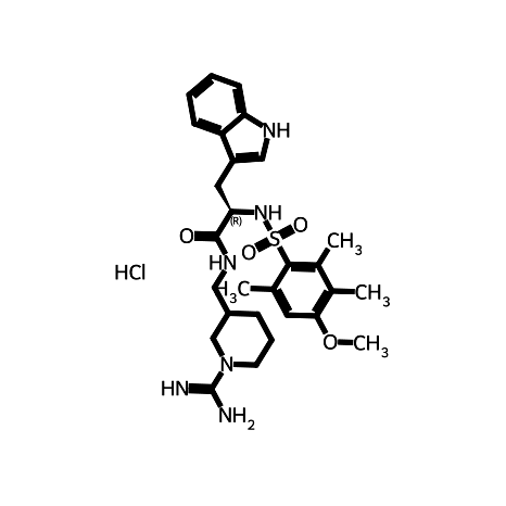 COc1cc(C)c(S(=O)(=O)N[C@H](Cc2c[nH]c3ccccc23)C(=O)NCC2CCCN(C(=N)N)C2)c(C)c1C.Cl